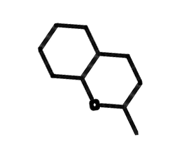 CC1CCC2CCCCC2O1